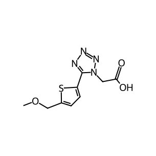 COCc1ccc(-c2nnnn2CC(=O)O)s1